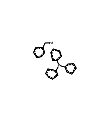 [Pd][CH2]c1ccccc1.c1ccc(P(c2ccccc2)c2ccccc2)cc1